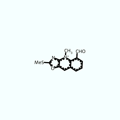 CSc1nc2c(cc3cccc(C=O)c3[n+]2C)o1